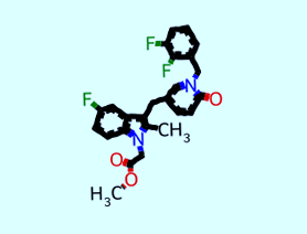 COC(=O)Cn1c(C)c(Cc2ccc(=O)n(Cc3cccc(F)c3F)c2)c2cc(F)ccc21